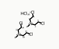 CN(CCCl)CCCl.CN(CCCl)CCCl.Cl